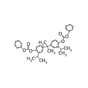 CC(C)c1cc(C(C)(C)c2ccc(OC(=O)Oc3ccccc3)c(C(C)C)c2)ccc1OC(=O)Oc1ccccc1